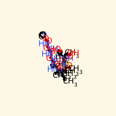 CCCCCCN(C(=O)[C@@H](NC(=O)[C@@]1(C)CCCN1C(=O)CNC(=O)CNC(=O)CNC(=O)CNC(=O)COC1/C=C\CCCCC1)[C@@H](C)CC)[C@H](C[C@@H](OC(C)=O)c1nc(C(=O)N[C@@H](Cc2ccc(O)cc2)CC(C)(C)C(=O)O)cs1)C(C)C